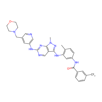 Cc1ccc(NC(=O)c2cccc(C(F)(F)F)c2)cc1Nc1nn(C)c2nc(Nc3cncc(CN4CCOCC4)c3)ncc12